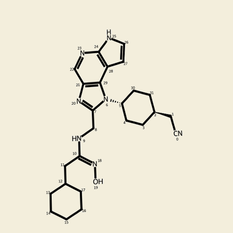 N#CC[C@H]1CC[C@H](n2c(CNC(CC3CCCCC3)=NO)nc3cnc4[nH]ccc4c32)CC1